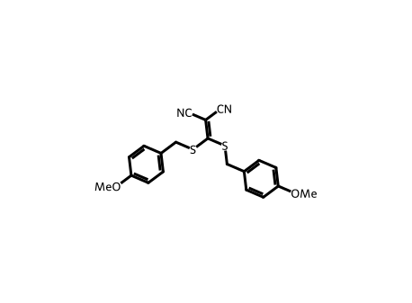 COc1ccc(CSC(SCc2ccc(OC)cc2)=C(C#N)C#N)cc1